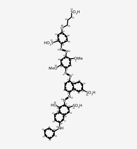 COc1cc(N=Nc2ccc(N=Nc3c(S(=O)(=O)O)cc4cc(Nc5ccccc5)ccc4c3O)c3cc(S(=O)(=O)O)ccc23)c(OC)cc1N=Nc1ccc(OCCCS(=O)(=O)O)cc1S(=O)(=O)O